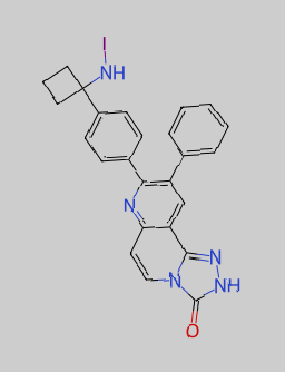 O=c1[nH]nc2c3cc(-c4ccccc4)c(-c4ccc(C5(NI)CCC5)cc4)nc3ccn12